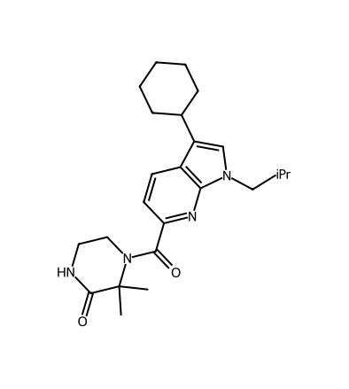 CC(C)Cn1cc(C2CCCCC2)c2ccc(C(=O)N3CCNC(=O)C3(C)C)nc21